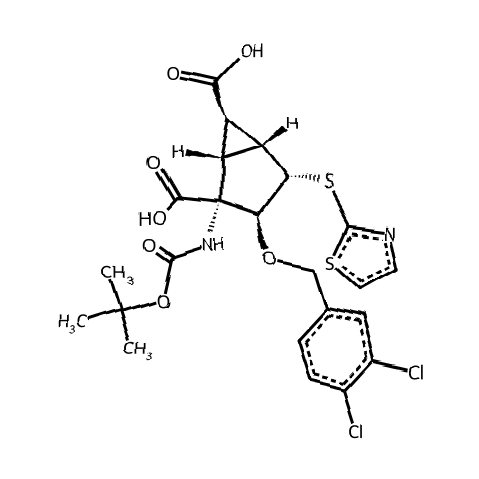 CC(C)(C)OC(=O)N[C@]1(C(=O)O)[C@@H]2[C@@H](C(=O)O)[C@@H]2[C@H](Sc2nccs2)[C@H]1OCc1ccc(Cl)c(Cl)c1